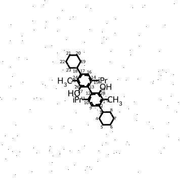 Cc1c(C2CCCCC2)cc(C(C)C)c(-c2c(C(C)C)cc(C3CCCCC3)c(C)c2O)c1O